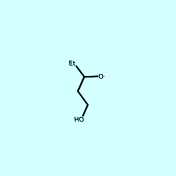 CCC([O])CCO